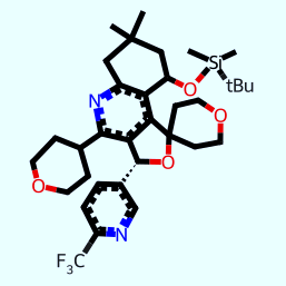 CC1(C)Cc2nc(C3CCOCC3)c3c(c2C(O[Si](C)(C)C(C)(C)C)C1)C1(CCOCC1)O[C@@H]3c1ccc(C(F)(F)F)nc1